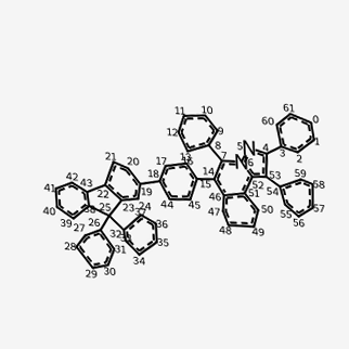 c1ccc(-c2nn3c(-c4ccccc4)c(-c4ccc(-c5ccc6c(c5)C(c5ccccc5)(c5ccccc5)c5ccccc5-6)cc4)c4ccccc4c3c2-c2ccccc2)cc1